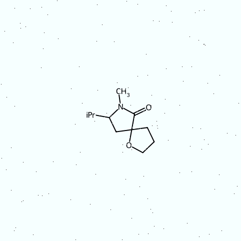 CC(C)C1CC2(CCCO2)C(=O)N1C